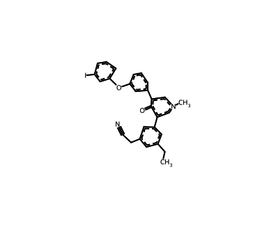 CCc1cc(CC#N)cc(-c2cn(C)cc(-c3cccc(Oc4cccc(I)c4)c3)c2=O)c1